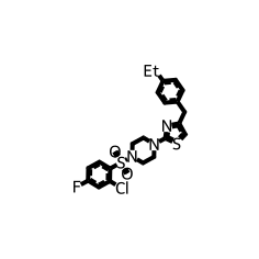 CCc1ccc(Cc2csc(N3CCN(S(=O)(=O)c4ccc(F)cc4Cl)CC3)n2)cc1